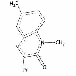 Cc1ccc2c(c1)nc(C(C)C)c(=O)n2C